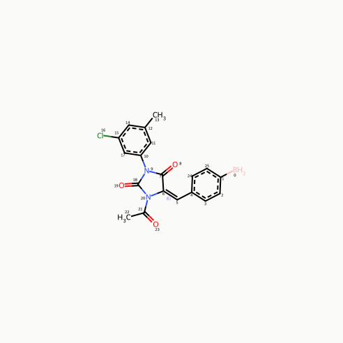 Bc1ccc(/C=C2\C(=O)N(c3cc(C)cc(Cl)c3)C(=O)N2C(C)=O)cc1